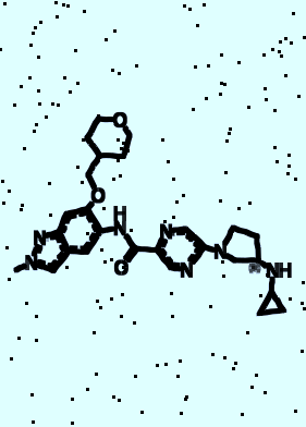 Cn1cc2cc(NC(=O)c3cnc(N4CC[C@@H](NC5CC5)C4)cn3)c(OCC3CCOCC3)cc2n1